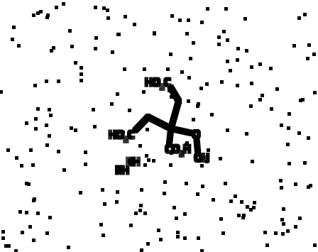 O=C(O)CC(CC(=O)O)(OO)C(=O)O.[KH].[KH]